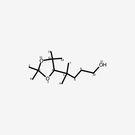 CC1(C)OC(C(C)(C)CCCO)C(C)(C)O1